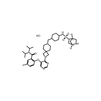 CC(C)N(C(=O)c1cc(F)ccc1Oc1cncnc1N1CC2(CCN(CC3CCC(NS(=O)(=O)N4C[C@@H]5C[C@H]4CN5)CC3)CC2)C1)C(C)C.Cl